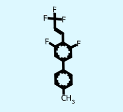 Cc1ccc(-c2cc(F)c(/C=C/C(F)(F)F)c(F)c2)cc1